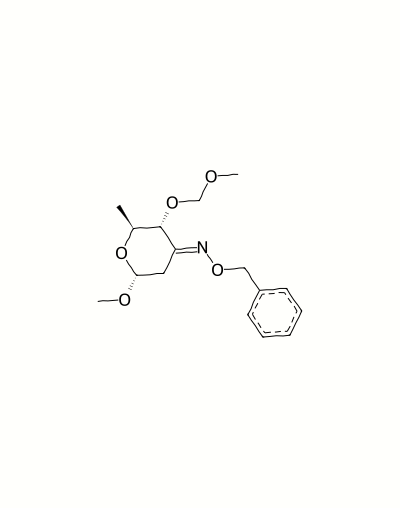 COCO[C@@H]1C(=NOCc2ccccc2)C[C@H](OC)O[C@H]1C